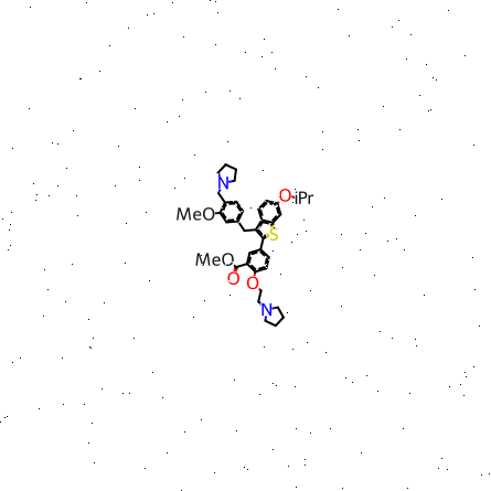 COC(=O)c1cc(-c2sc3cc(OC(C)C)ccc3c2Cc2ccc(CN3CCCC3)c(OC)c2)ccc1OCCN1CCCC1